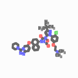 CN(C)CCOc1ccc(Cl)c(-n2nc(C(C)(C)C)cc2N(OC=O)C(=O)N[C@H]2CC[C@@H](Oc3ccc4nnc(N5CCCCC5)n4c3)c3ccccc32)c1